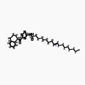 CCCCCCCC/C=C/CCCCCCCC(=O)Nc1nnc(NC2CCCc3ccccc32)s1